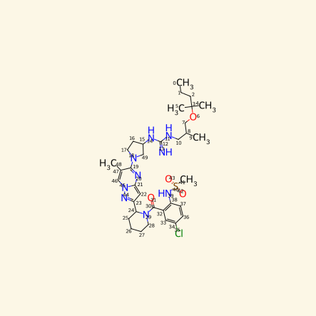 CCCC(C)(C)OCC(C)CNC(=N)NC1CCN(c2nc3cc(C4CCCCN4C(=O)c4cc(Cl)ccc4NS(C)(=O)=O)nn3cc2C)C1